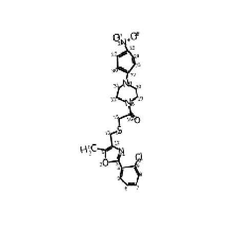 Cc1oc(-c2ccccc2Cl)nc1CSCC(=O)N1CCN(c2ccc([N+](=O)[O-])cc2)CC1